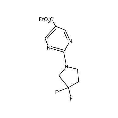 CCOC(=O)c1cnc(N2CCC(F)(F)C2)nc1